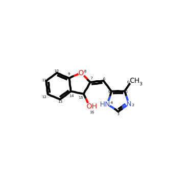 Cc1nc[nH]c1/C=C1/Oc2ccccc2C1O